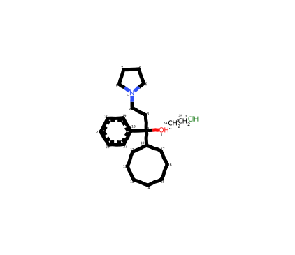 Cl.OC(CCN1CCCC1)([C]1CCCCCCC1)c1ccccc1.[CH2].[CH2]